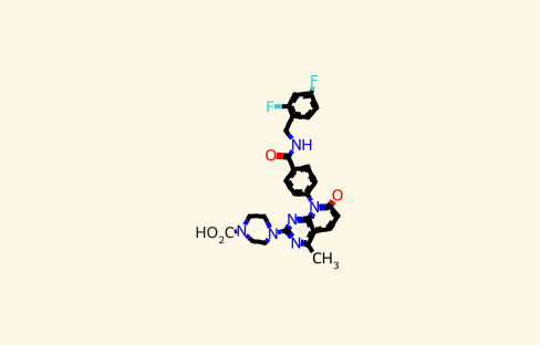 Cc1nc(N2CCN(C(=O)O)CC2)nc2c1ccc(=O)n2-c1ccc(C(=O)NCc2ccc(F)cc2F)cc1